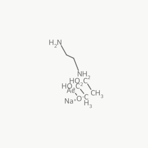 CC(=O)O.CC(=O)O.CC(=O)[O-].NCCN.[Na+]